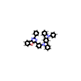 c1ccc(-c2nc(-c3cccc(-n4c5ccccc5c5cc6c(cc54)c4ccccc4n6-c4ccccc4)c3)c3oc4ccccc4c3n2)cc1